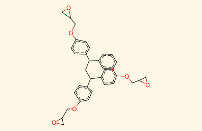 c1ccc(C(CC(c2ccc(OCC3CO3)cc2)c2ccc(OCC3CO3)cc2)c2ccc(OCC3CO3)cc2)cc1